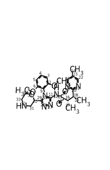 COc1cccc(OC)c1-n1c(NS(=O)(=O)[C@@H](C)[C@H](C)c2ncc(C)cn2)nnc1[C@H]1CNCCO1